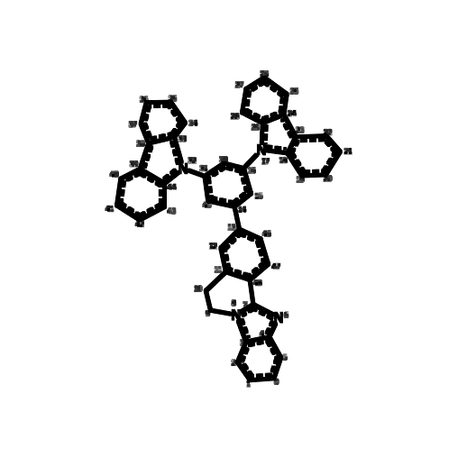 c1ccc2c(c1)nc1n2CCc2cc(-c3cc(-n4c5ccccc5c5ccccc54)cc(-n4c5ccccc5c5ccccc54)c3)ccc2-1